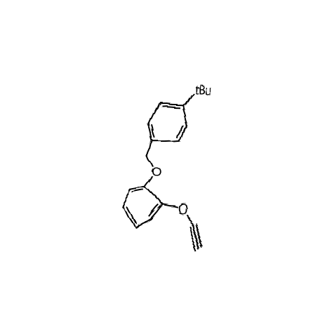 C#COc1ccccc1OCc1ccc(C(C)(C)C)cc1